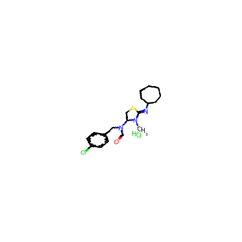 CN1C(=NC2CCCCCC2)SCC1N(C=O)Cc1ccc(Cl)cc1.Cl